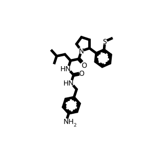 CSc1ccccc1C1CCCN1C(=O)C(CC(C)C)NC(=O)NCc1ccc(N)cc1